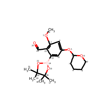 COc1cc(OC2CCCCO2)cc(B2OC(C)(C)C(C)(C)O2)c1C=O